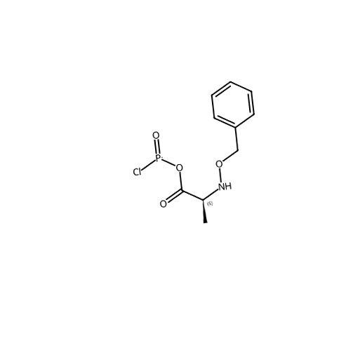 C[C@H](NOCc1ccccc1)C(=O)O[P](=O)Cl